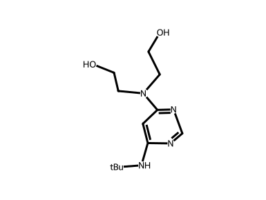 CC(C)(C)Nc1cc(N(CCO)CCO)ncn1